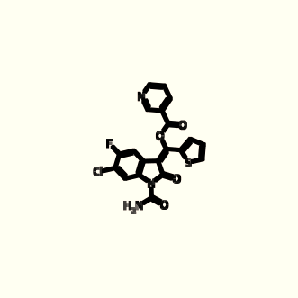 NC(=O)N1C(=O)/C(=C(/OC(=O)c2cccnc2)c2cccs2)c2cc(F)c(Cl)cc21